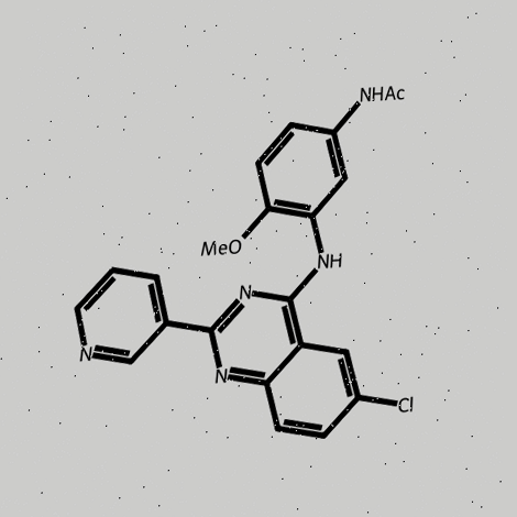 COc1ccc(NC(C)=O)cc1Nc1nc(-c2cccnc2)nc2ccc(Cl)cc12